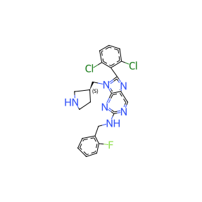 Fc1ccccc1CNc1ncc2nc(-c3c(Cl)cccc3Cl)n(C[C@H]3CCNC3)c2n1